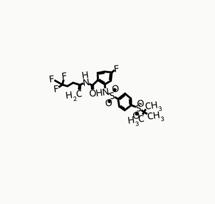 C=C(CCC(F)(F)F)NC(=O)c1ccc(F)cc1NS(=O)(=O)c1ccc(S(=O)(=O)C(C)(C)C)cc1